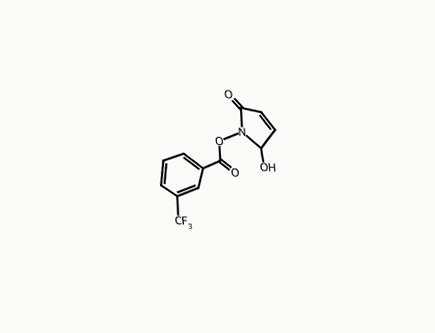 O=C(ON1C(=O)C=CC1O)c1cccc(C(F)(F)F)c1